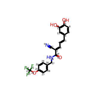 N#C/C(=C\C=C\c1ccc(O)c(O)c1)C(=O)NCc1ccc(OC(F)(F)F)cc1